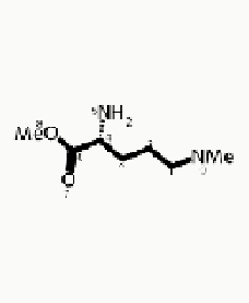 CNCCC[C@@H](N)C(=O)OC